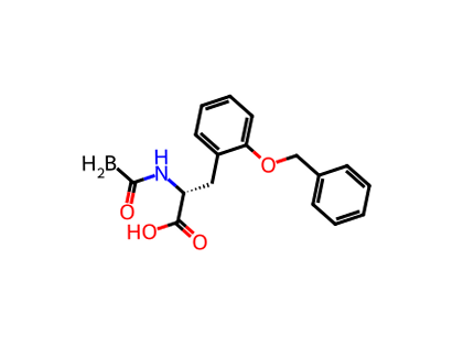 BC(=O)N[C@H](Cc1ccccc1OCc1ccccc1)C(=O)O